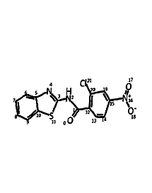 O=C(Nc1nc2ccccc2s1)c1ccc([N+](=O)[O-])cc1Cl